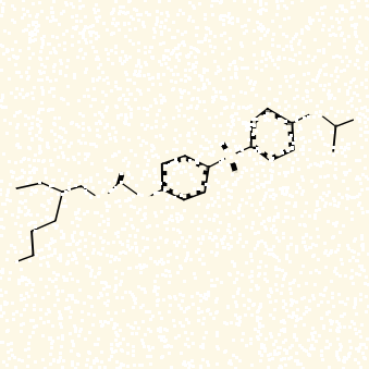 CCCCC(CC)COC(=O)Oc1ccc(S(=O)(=O)c2ccc(OC(C)C)cc2)cc1